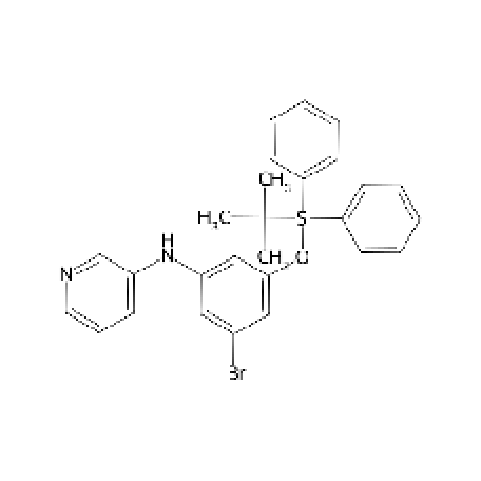 CC(C)(C)[Si](Oc1cc(Br)cc(Nc2cccnc2)c1)(c1ccccc1)c1ccccc1